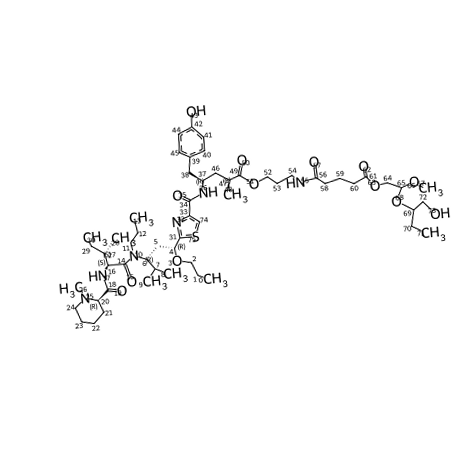 CCCO[C@H](C[C@H](C(C)C)N(CCC)C(=O)[C@@H](NC(=O)[C@H]1CCCCN1C)[C@@H](C)CC)c1nc(C(=O)N[C@@H](Cc2ccc(O)cc2)C[C@H](C)C(=O)OCCCNC(=O)CCCC(=O)OCC(OC)OC(CC)CO)cs1